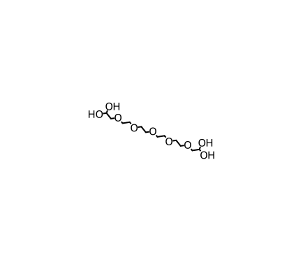 OC(O)COCCOCCOCCOCCOCC(O)O